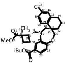 COC(=O)[C@@]1(C)CC[C@H]1CN1C[C@@]2(CCCc3cc(Cl)ccc32)COc2ccc(C(=O)OCC(C)C)cc21